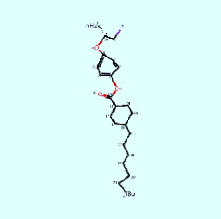 CCCCCC[C@H](CI)Oc1ccc(OC(=O)C2CCC(CCCCCCC(C)CC)CC2)cc1